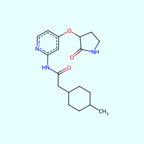 CC1CCC(CC(=O)Nc2cc(OC3CCNC3=O)ccn2)CC1